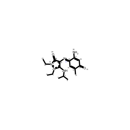 CCn1c(NC(C)C)c(/N=C2\C=C(C)C(=O)C=C2N)c(=O)n1CC